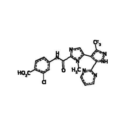 Cn1c(-c2c(C(F)(F)F)n[nH]c2-c2ncccn2)cnc1C(=O)Nc1ccc(C(=O)O)c(Cl)c1